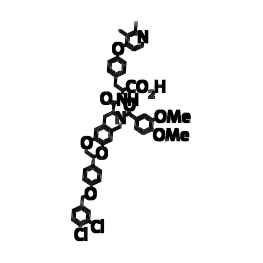 COc1ccc(C(=O)N2Cc3cc4c(cc3C[C@H]2C(=O)NC(Cc2ccc(Oc3ccnc(C)c3C)cc2)C(=O)O)OC[C@H](c2ccc(OCc3ccc(Cl)c(Cl)c3)cc2)O4)cc1OC